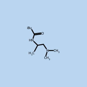 CCC(C)C(=O)NC(C)CN(C)C